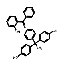 CC(c1ccccc1)(c1ccc(O)cc1)c1ccc(O)cc1.O=C(c1ccccc1)c1ccccc1O